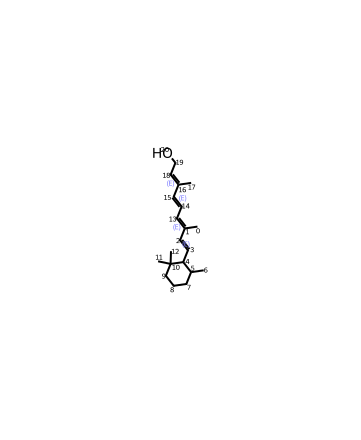 CC(/C=C/C1C(C)CCCC1(C)C)=C\C=C\C(C)=C\CO